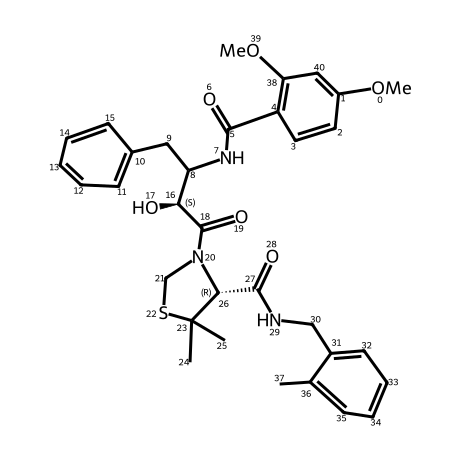 COc1ccc(C(=O)NC(Cc2ccccc2)[C@H](O)C(=O)N2CSC(C)(C)[C@H]2C(=O)NCc2ccccc2C)c(OC)c1